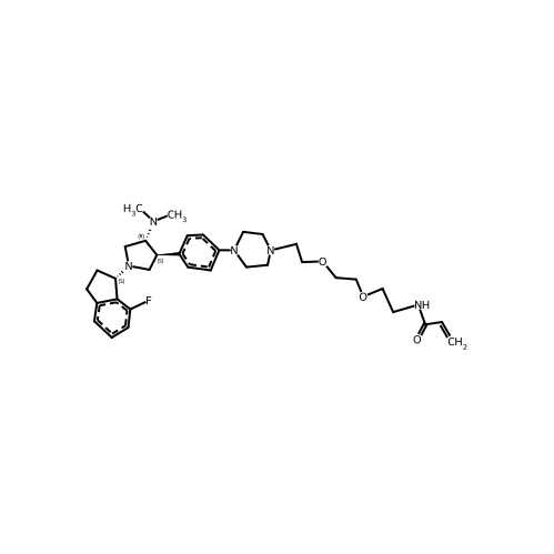 C=CC(=O)NCCOCCOCCN1CCN(c2ccc([C@H]3CN([C@H]4CCc5cccc(F)c54)C[C@@H]3N(C)C)cc2)CC1